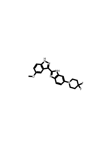 COc1ccc2[nH]nc(-c3nc4ccc(N5CCC(F)(F)CC5)cc4[nH]3)c2c1